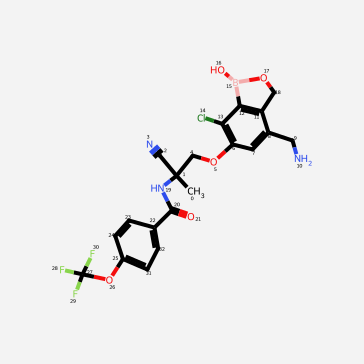 CC(C#N)(COc1cc(CN)c2c(c1Cl)B(O)OC2)NC(=O)c1ccc(OC(F)(F)F)cc1